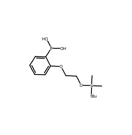 CC(C)(C)[Si](C)(C)OCCOc1ccccc1B(O)O